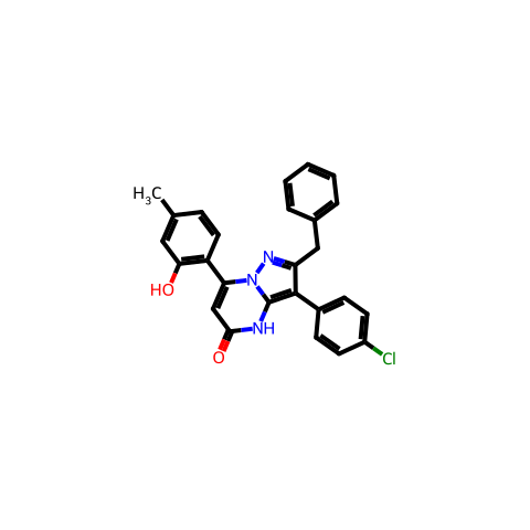 Cc1ccc(-c2cc(=O)[nH]c3c(-c4ccc(Cl)cc4)c(Cc4ccccc4)nn23)c(O)c1